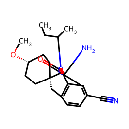 CCC(C)N1C(=O)C2(N=C1N)c1cc(C#N)ccc1C[C@]21CC[C@@H](OC)CC1